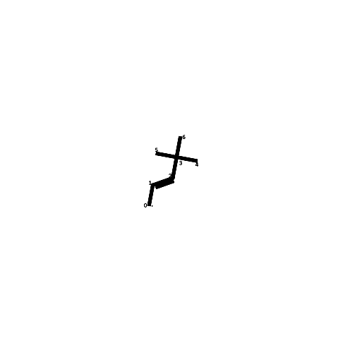 [CH2]/C=C/C(C)(C)C